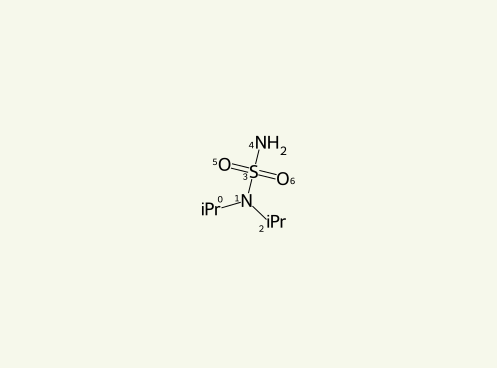 CC(C)N(C(C)C)S(N)(=O)=O